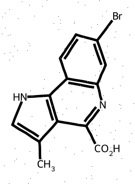 Cc1c[nH]c2c1c(C(=O)O)nc1cc(Br)ccc12